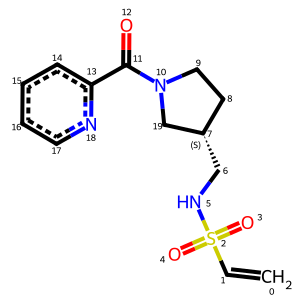 C=CS(=O)(=O)NC[C@H]1CCN(C(=O)c2ccccn2)C1